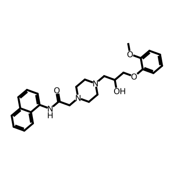 COc1ccccc1OCC(O)CN1CCN(CC(=O)Nc2cccc3ccccc23)CC1